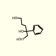 CCCCCCCCCC(O)(CCCO)c1ccccc1